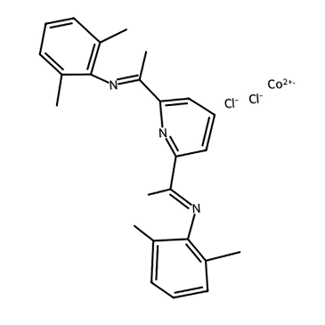 CC(=Nc1c(C)cccc1C)c1cccc(C(C)=Nc2c(C)cccc2C)n1.[Cl-].[Cl-].[Co+2]